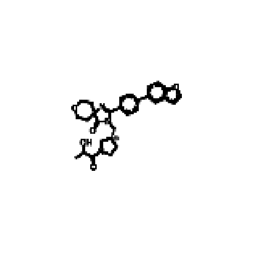 CC(O)C(=O)N1CC[C@@H](CN2C(=O)C3(CCOCC3)N=C2c2ccc(-c3ccc4occc4c3)cc2)C1